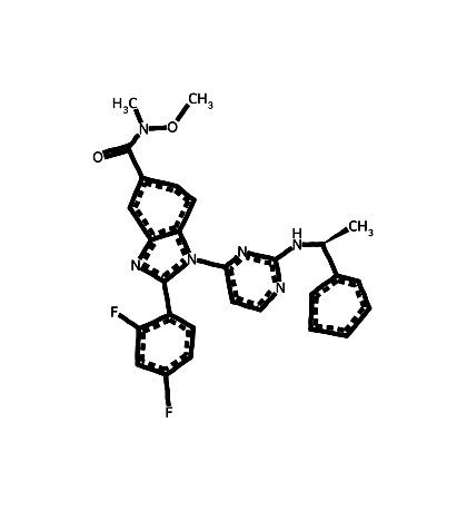 CON(C)C(=O)c1ccc2c(c1)nc(-c1ccc(F)cc1F)n2-c1ccnc(N[C@@H](C)c2ccccc2)n1